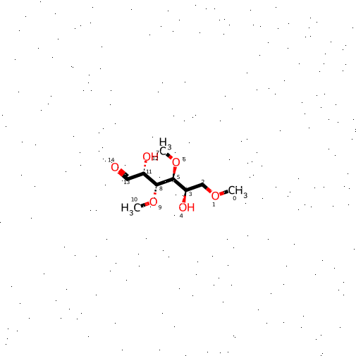 COC[C@@H](O)[C@H](OC)[C@H](OC)[C@@H](O)C=O